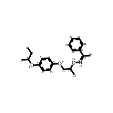 CCC(C)Oc1ccc(OCC(C)ON=C(C)c2ccccc2)cc1